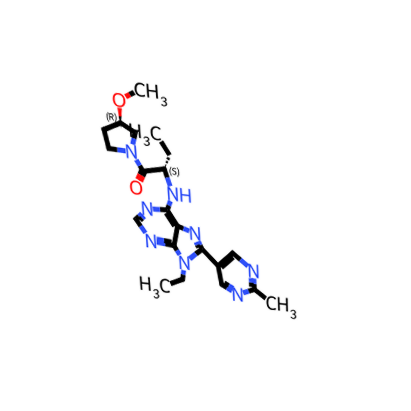 CC[C@H](Nc1ncnc2c1nc(-c1cnc(C)nc1)n2CC)C(=O)N1CC[C@@H](OC)C1